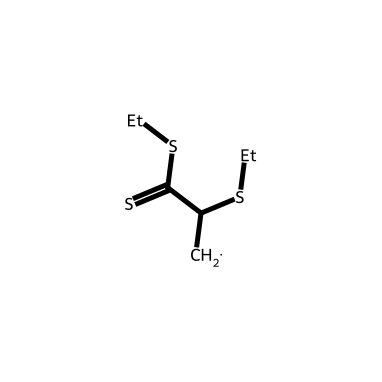 [CH2]C(SCC)C(=S)SCC